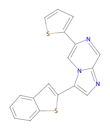 c1csc(-c2cn3c(-c4cc5ccccc5s4)cnc3cn2)c1